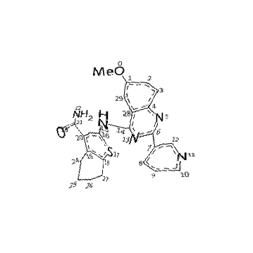 COc1ccc2nc(-c3cccnc3)nc(Nc3sc4c(c3C(N)=O)CCCC4)c2c1